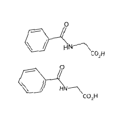 O=C(O)CNC(=O)c1ccccc1.O=C(O)CNC(=O)c1ccccc1